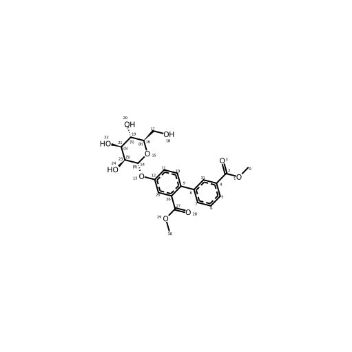 COC(=O)c1cccc(-c2ccc(O[C@H]3O[C@H](CO)[C@@H](O)[C@H](O)[C@@H]3O)cc2C(=O)OC)c1